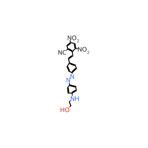 N#Cc1cc([N+](=O)[O-])cc([N+](=O)[O-])c1C=Cc1ccc(N=Nc2ccc(NCCO)cc2)cc1